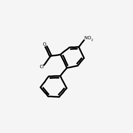 O=C(Cl)c1cc([N+](=O)[O-])ccc1-c1ccccc1